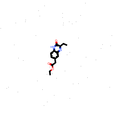 CCOC(=O)Cc1ccc2[nH]c(=O)c(CC)nc2c1